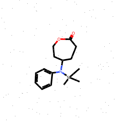 C[Si](C)(C)N(c1ccccc1)C1CCOC(=O)CC1